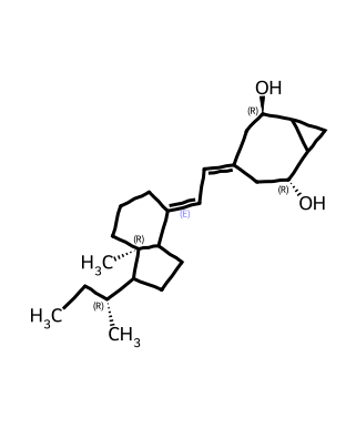 CC[C@@H](C)C1CCC2/C(=C/C=C3C[C@@H](O)C4CC4[C@H](O)C3)CCC[C@@]21C